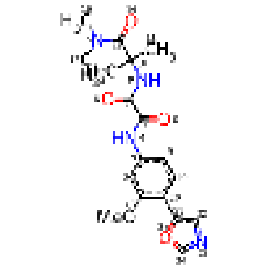 COc1cc(NC(=O)C(=O)NC(C)(C)C(=O)N(C)C)ccc1-c1cnco1